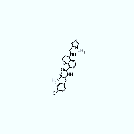 Cn1cncc1CNC1CCOc2c(C(=O)NC(Cc3ccc(Cl)cc3)C(N)=O)cccc21